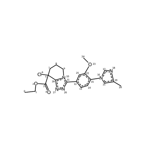 CCOC(=O)C1(Cl)CCCn2c(-c3ccc(-n4cnc(C)c4)c(OC)c3)nnc21